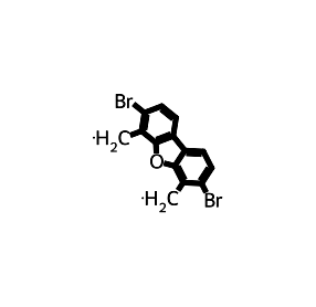 [CH2]c1c(Br)ccc2c1oc1c([CH2])c(Br)ccc12